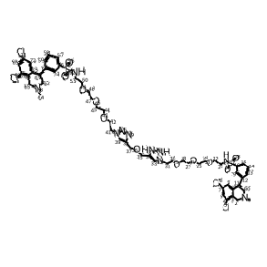 CN1Cc2c(Cl)cc(Cl)cc2C(c2cccc(S(=O)(=O)NCCOCCOCCOCCN3C=C(COCc4cn(CCOCCOCCOCCNS(=O)(=O)c5cccc(C6CN(C)Cc7c(Cl)cc(Cl)cc76)c5)nn4)NN3)c2)C1